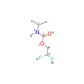 CC(C)N(C)C(=O)OCC(F)F